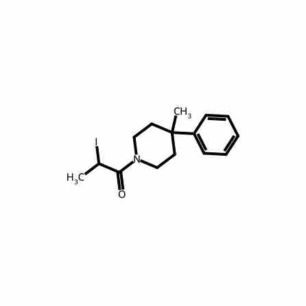 CC(I)C(=O)N1CCC(C)(c2ccccc2)CC1